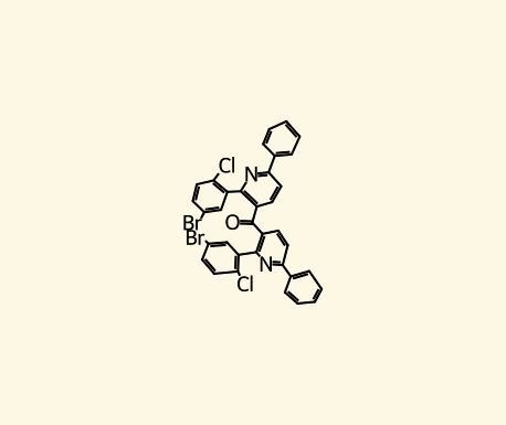 O=C(c1ccc(-c2ccccc2)nc1-c1cc(Br)ccc1Cl)c1ccc(-c2ccccc2)nc1-c1cc(Br)ccc1Cl